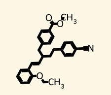 CCOc1ccccc1C=CC(CCc1ccc(C#N)cc1)Cc1ccc(C(=O)OC)cc1